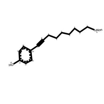 CCCCCCCCCCCCCCCCC#Cc1ccc(O)cc1